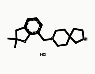 CC1(C)Cc2cccc(CN3CCC4(CCNC4)CC3)c2O1.Cl